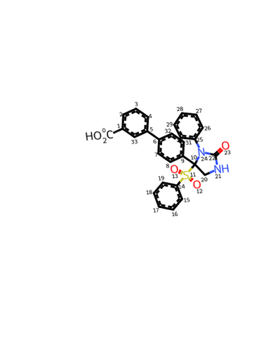 O=C(O)c1cccc(-c2ccc(C3(S(=O)(=O)c4ccccc4)CNC(=O)N3c3ccccc3)cc2)c1